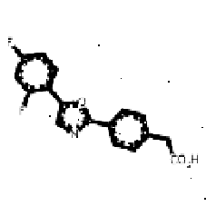 O=C(O)Cc1ccc(-c2ncc(-c3ccc(F)cc3F)o2)cc1